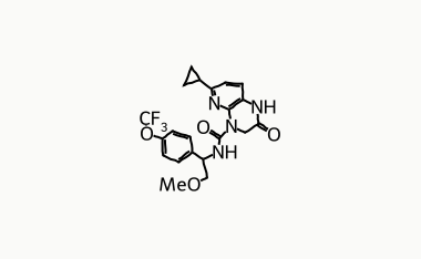 COCC(NC(=O)N1CC(=O)Nc2ccc(C3CC3)nc21)c1ccc(OC(F)(F)F)cc1